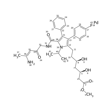 COC(=O)C[C@H](O)C[C@H](O)CCc1c(-c2ccc(F)cc2)c(-c2ccccc2)c(C(=O)NCC(=O)C=C(C)N)n1C(C)C.[Pd]